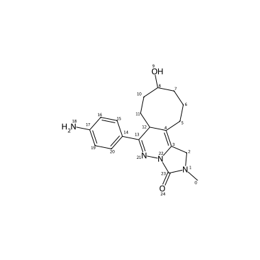 CN1CC2=C3CCCC(O)CCC3C(c3ccc(N)cc3)=NN2C1=O